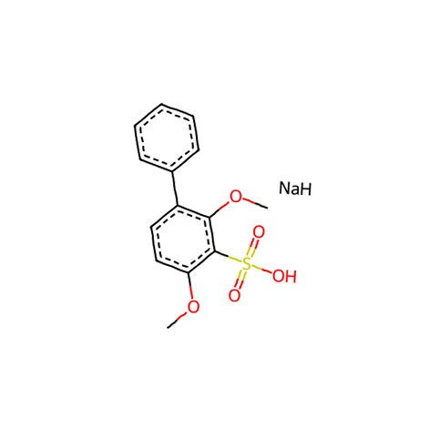 COc1ccc(-c2ccccc2)c(OC)c1S(=O)(=O)O.[NaH]